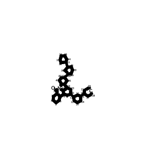 O=c1c2ccccc2c2cc(-c3cccc(-c4ccccc4)c3)cc3c4cc(-c5cccc(-c6ccccc6)c5)ccc4n1c23